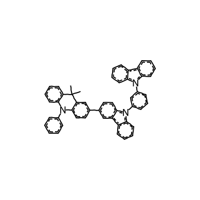 CC1(C)c2ccccc2N(c2ccccc2)c2ccc(-c3ccc4c(c3)c3ccccc3n4-c3cccc(-n4c5ccccc5c5ccccc54)c3)cc21